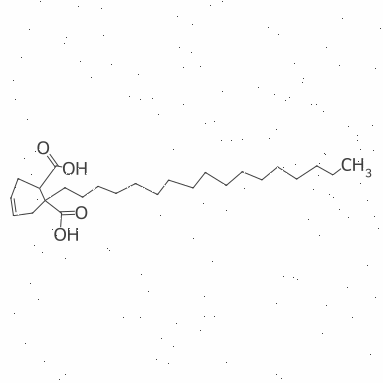 CCCCCCCCCCCCCCCCCC1(C(=O)O)CC=CCC1C(=O)O